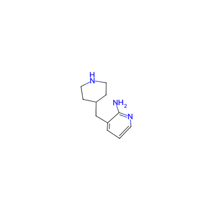 Nc1ncccc1CC1CCNCC1